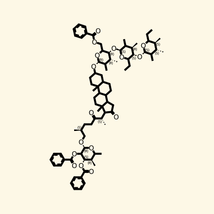 CCC1O[C@@H](O[C@@H]2C(CC)O[C@@H](O[C@H]3C(COC(=O)c4ccccc4)O[C@@H](OC4CCC5(C)C(CCC6C5CCC5(C)C6CC(=O)C5[C@H](C)C(=O)CC[C@H](C)CO[C@@H]5OC(C)[C@@H](C)[C@H](OC(=O)c6ccccc6)C5OC(=O)c5ccccc5)C4)C(C)[C@H]3C)C(C)[C@H]2C)C(C)[C@@H](C)[C@@H]1C